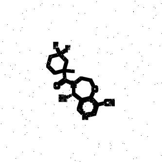 CC[C@H]1c2cncc(C#N)c2OCCN1C(=O)C1(C)CCCC(F)(F)C1